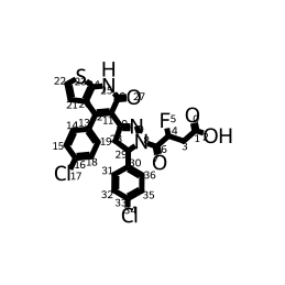 O=C(O)CC(F)C(=O)N1N=C(c2c(-c3ccc(Cl)cc3)c3ccsc3[nH]c2=O)CC1c1ccc(Cl)cc1